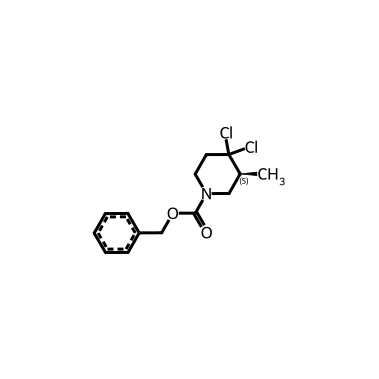 C[C@H]1CN(C(=O)OCc2ccccc2)CCC1(Cl)Cl